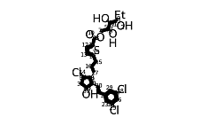 CC[C@@H](O)[C@@H](O)[C@@H](O)COC(=O)c1ccc(CCC[C@@H]2[C@@H](CCc3cc(Cl)cc(Cl)c3)[C@H](O)C[C@H]2Cl)s1